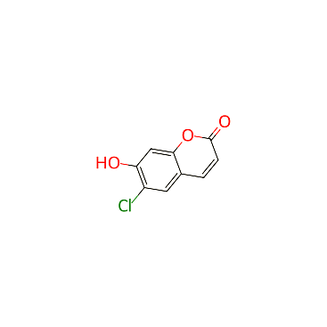 O=c1ccc2cc(Cl)c(O)cc2o1